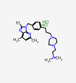 CCc1nc2c(C)cc(C)nc2n1Cc1ccc(CCCN2CCN(CCN(C)C)CC2)cc1.Cl.Cl